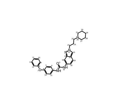 O=C(Nc1ccc(Oc2ccccc2)cc1)Nc1ccc2cn(CCCN3CCCCC3)nc2c1